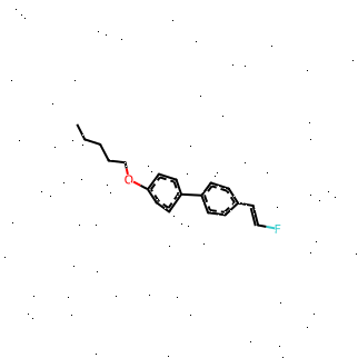 CCCCCOc1ccc(-c2ccc(C=CF)cc2)cc1